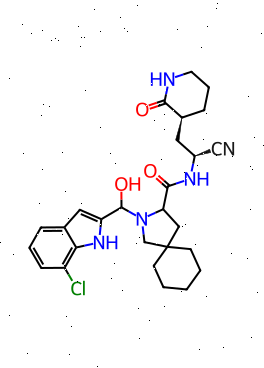 N#C[C@H](C[C@@H]1CCCNC1=O)NC(=O)C1CC2(CCCCC2)CN1C(O)c1cc2cccc(Cl)c2[nH]1